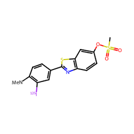 CNc1ccc(-c2nc3ccc(OS(C)(=O)=O)cc3s2)cc1[125I]